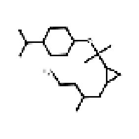 CC(CCN)CC1CC1C(C)(C)OC1CCC(C(C)C)CC1